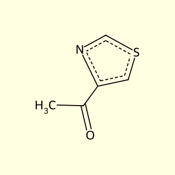 CC(=O)c1cscn1